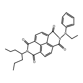 CCCC(CCC)N1C(=O)c2ccc3c4c(ccc(c24)C1=O)C(=O)N(N(CC)c1ccccc1)C3=O